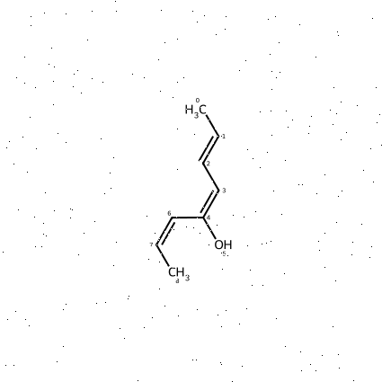 CC=C/C=C(O)\C=C/C